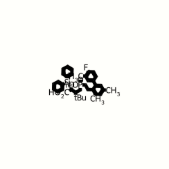 COP(=O)(CCc1c(C)cc(C)cc1-c1ccc(F)c(C)c1)CC(C(O[SiH](c1ccccc1)c1ccccc1)C(=O)O)C(C)(C)C